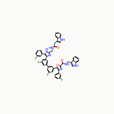 O=C(Cc1c[nH]c2ccccc12)NCc1nc(-c2cc(F)cc(-c3cc(F)cc(-c4oc(C(=O)NCc5c[nH]c6ccccc56)nc4-c4cccc(F)c4)c3)c2)c(-c2cccc(F)c2)[nH]1